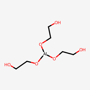 OCC[O][Al]([O]CCO)[O]CCO